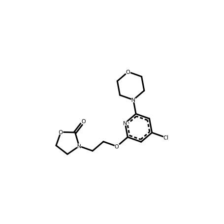 O=C1OCCN1CCOc1cc(Cl)cc(N2CCOCC2)n1